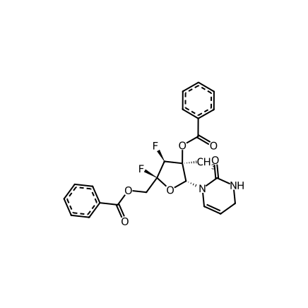 C[C@]1(OC(=O)c2ccccc2)[C@H](N2C=CCNC2=O)O[C@](F)(COC(=O)c2ccccc2)[C@H]1F